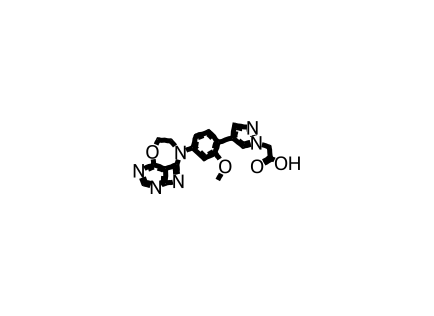 COc1cc(N2CCOc3ncnc4c3C2=N4)ccc1-c1cnn(CC(=O)O)c1